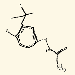 NC(=O)NSc1ccc(F)c(C(F)(F)F)c1